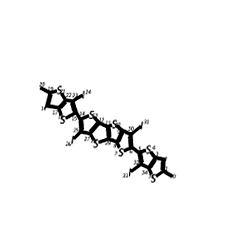 Cc1cc2sc(-c3sc4c(sc5c6sc(-c7sc8cc(C)sc8c7I)c(I)c6sc45)c3I)c(I)c2s1